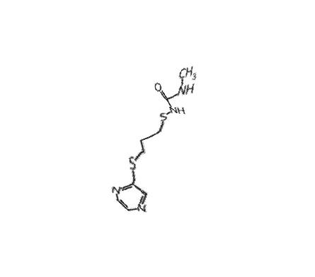 CNC(=O)NSCCCSc1cnccn1